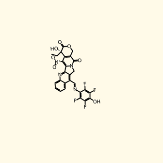 CC[C@@]1(O)C(=O)OCc2c1c([N+](=O)[O-])c1n(c2=O)Cc2c-1nc1ccccc1c2/C=N/c1c(F)c(F)c(O)c(F)c1F